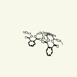 CCCCCCC(C)OC(=O)c1ccccc1C(=O)OC(C)CCCCCC.CCCCCCCCOC(=O)c1ccccc1C(=O)OCCCCCCCC